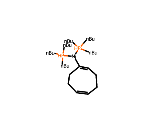 CCCC[PH](CCCC)(CCCC)[Ni]([C]1=CCCC=CCC1)[PH](CCCC)(CCCC)CCCC